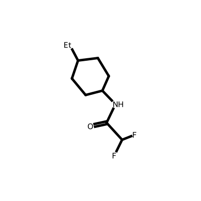 CCC1CCC(NC(=O)C(F)F)CC1